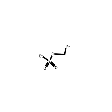 [CH2]C(C)COS(=O)(=O)CC